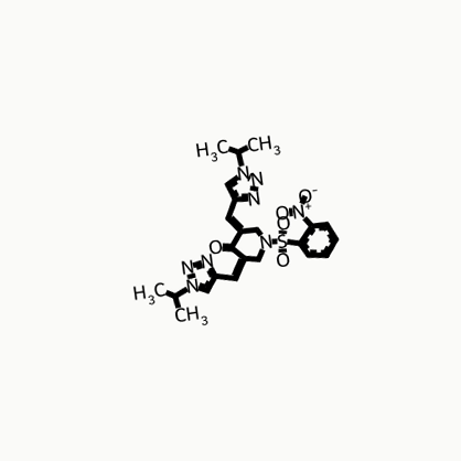 CC(C)n1cc(C=C2CN(S(=O)(=O)c3ccccc3[N+](=O)[O-])CC(=Cc3cn(C(C)C)nn3)C2=O)nn1